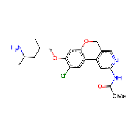 COC(=O)Nc1cc2c(cn1)COc1cc(OCC(C)CC(C)N)c(Cl)cc1-2